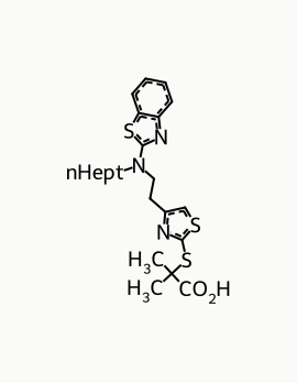 CCCCCCCN(CCc1csc(SC(C)(C)C(=O)O)n1)c1nc2ccccc2s1